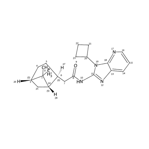 CC1(C)[C@H]2CC[C@@H](CC(=O)Nc3nc4cccnc4n3C3CCC3)[C@@H]1C2